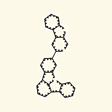 c1ccc2c(c1)oc1cnc(-c3ccc4c5cccc6c7ccccc7n(c4c3)c65)cc12